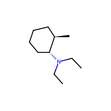 CCN(CC)[C@@H]1CCCC[C@H]1C